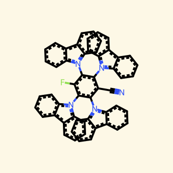 N#Cc1c(-n2c3ccccc3c3ccccc32)c(-n2c3ccccc3c3ccccc32)c(F)c(-n2c3ccccc3c3ccccc32)c1-n1c2ccccc2c2ccccc21